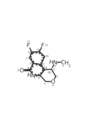 CN[C@H]1COCc2[nH]c(=O)c3cc(F)c(F)cc3c21